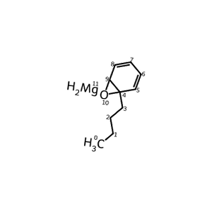 CCCCC12C=CC=CC1O2.[MgH2]